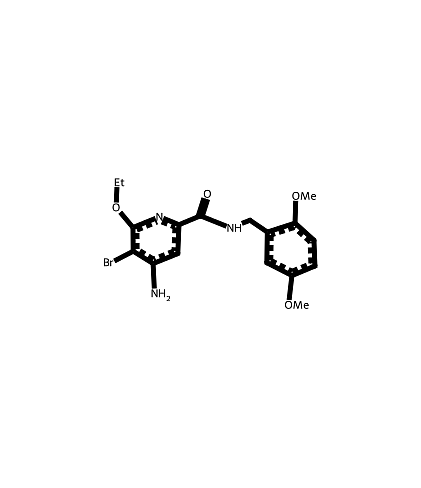 CCOc1nc(C(=O)NCc2cc(OC)ccc2OC)cc(N)c1Br